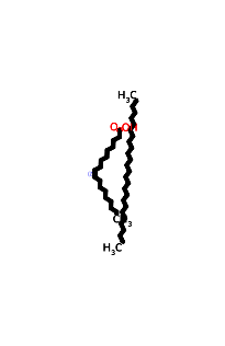 CCCCCCCC/C=C\CCCCCCCC(=O)O.CCCCCCCCCCCCCCCCCCCCCCCCCCC